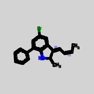 C/C=C\C=C1\c2cc(Br)cc(-c3ccccc3)c2NC1C